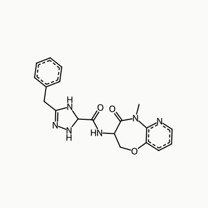 CN1C(=O)C(NC(=O)C2NN=C(Cc3ccccc3)N2)COc2cccnc21